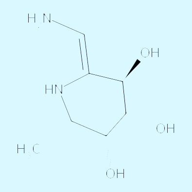 C[C@@H]1N/C(=C\N)[C@@H](O)[C@H](O)[C@@H]1O